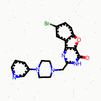 O=c1[nH]c(CN2CCN(c3cccnc3)CC2)nc2c1oc1ccc(Br)cc12